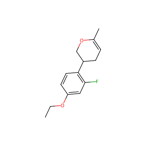 CCOc1ccc(C2CC=C(C)OC2)c(F)c1